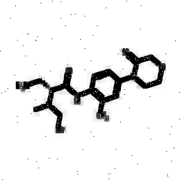 CC(C)CN(C)[C@H](CN)C(=O)Nc1ccc(N2CCOCC2=O)cc1C(F)(F)F